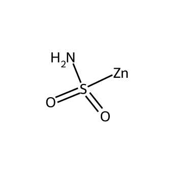 N[S](=O)(=O)[Zn]